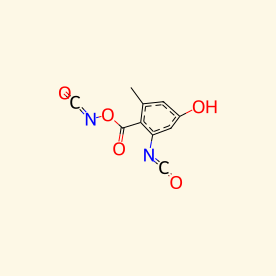 Cc1cc(O)cc(N=C=O)c1C(=O)ON=C=O